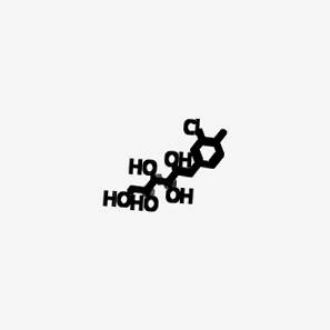 Cc1ccc(C=C(O)[C@H](O)[C@@H](O)[C@H](O)CO)cc1Cl